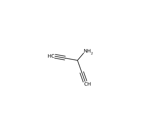 C#CC(N)C#C